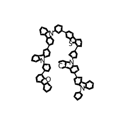 c1ccc(-n2c3ccccc3c3cc(-c4ccc5c(c4)c4ccccc4n5-c4ccc(-c5cccc6c5sc5cc(-c7cccc(-n8c9ccccc9c9cc(-c%10ccc%11c(c%10)c%10ccccc%10n%11-c%10cccc(-c%11cccc%12c%11oc%11ccccc%11%12)c%10)ccc98)c7)ccc56)cc4)ccc32)cc1